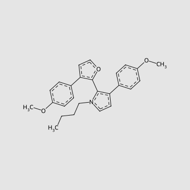 CCCCn1ccc(-c2ccc(OC)cc2)c1-c1occc1-c1ccc(OC)cc1